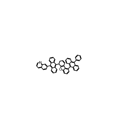 C1=Cc2c(oc3cccc(-c4c5ccccc5c(-c5ccccc5)c5ccccc45)c23)C(c2c3ccccc3c(-c3ccc4cccnc4c3)c3ccccc23)C1